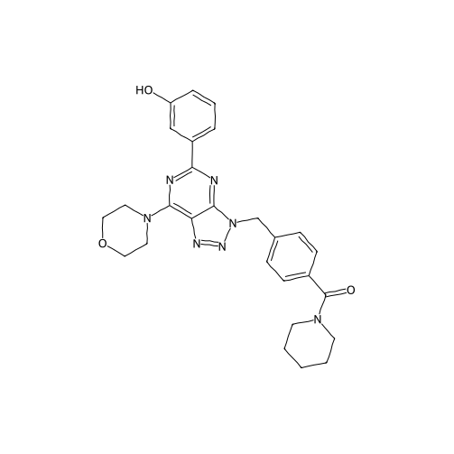 O=C(c1ccc(Cn2nnc3c(N4CCOCC4)nc(-c4cccc(O)c4)nc32)cc1)N1CCCCC1